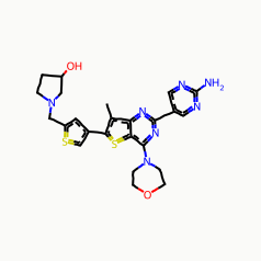 Cc1c(-c2csc(CN3CCC(O)C3)c2)sc2c(N3CCOCC3)nc(-c3cnc(N)nc3)nc12